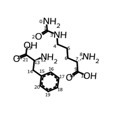 NC(=O)NCCC[C@H](N)C(=O)O.N[C@@H](Cc1ccccc1)C(=O)O